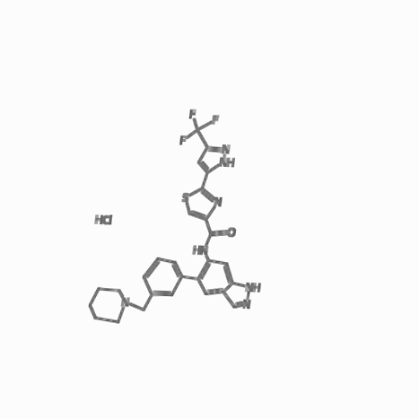 Cl.O=C(Nc1cc2[nH]ncc2cc1-c1cccc(CN2CCCCC2)c1)c1csc(-c2cc(C(F)(F)F)n[nH]2)n1